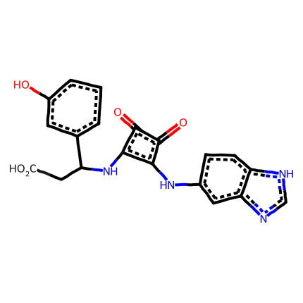 O=C(O)CC(Nc1c(Nc2ccc3[nH]cnc3c2)c(=O)c1=O)c1cccc(O)c1